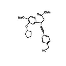 COC(=O)CC(C#Cc1ccc(CC#N)cc1)c1ccc(OC)c(OC2CCCC2)c1